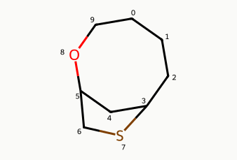 C1CCC2CC(CS2)OC1